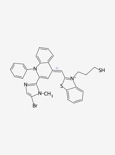 Cn1c(Br)cnc1C1=C/C(=C\c2sc3ccccc3[n+]2CCCS)c2ccccc2N1c1ccccc1